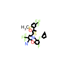 C[S+]([O-])c1ccc(C(F)(F)F)cc1-c1csc(-c2cc(C(F)(F)F)c(C#N)c(=O)n2Cc2ccc(F)cc2F)c1.c1cc2cc-2c1